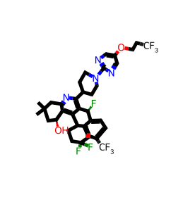 CC1(C)Cc2nc(C3CCN(c4ncc(OCCC(F)(F)F)cn4)CC3)c([C@@H](F)c3ccc(C(F)(F)F)cc3)c(C3CCC(F)(F)CC3)c2[C@@H](O)C1